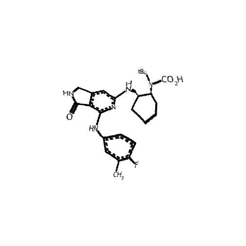 Cc1cc(Nc2nc(N[C@@H]3CCCC[C@@H]3N(C(=O)O)C(C)(C)C)cc3c2C(=O)NC3)ccc1F